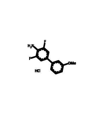 COc1cccc(-c2cc(F)c(N)c(F)c2)c1.Cl